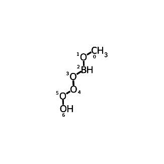 COBOOOO